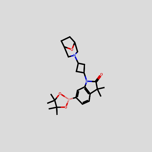 CC1(C)C(=O)N(C2CC(N3CC4CCC(C3)O4)C2)c2cc(B3OC(C)(C)C(C)(C)O3)ccc21